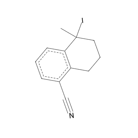 CC1(I)CCCc2c(C#N)cccc21